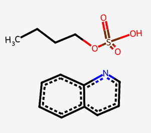 CCCCOS(=O)(=O)O.c1ccc2ncccc2c1